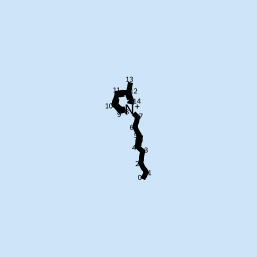 CCCCC=CCC[n+]1cccc(C)c1